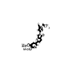 COc1cc(-c2ccc3c(n2)CN(c2cc(C)n(CC(F)(F)F)n2)C3=O)cnc1OC